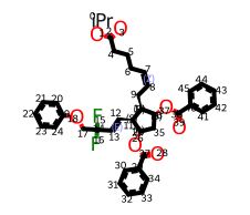 CC(C)OC(=O)CCC/C=C\C[C@@H]1[C@H](/C=C/C(F)(F)COc2ccccc2)[C@H](OC(=O)c2ccccc2)C[C@@H]1OC(=O)c1ccccc1